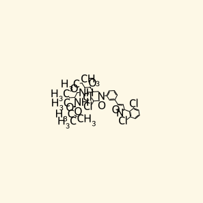 CC(C)C(NC(=O)OC(C)(C)C)C(=O)N[C@H](C(=O)CCN(C(=O)C(Cl)Cl)c1cccc(-c2cc(-c3c(Cl)cccc3Cl)no2)c1)C(C)C